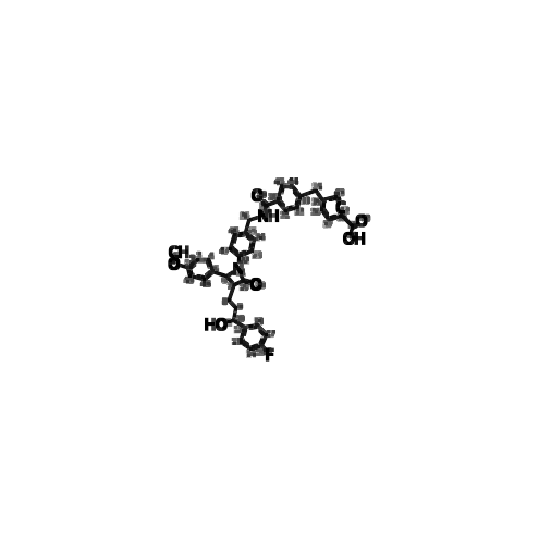 COc1ccc(C2C(CCC(O)c3ccc(F)cc3)C(=O)N2c2ccc(CNC(=O)c3ccc(Cc4ccc(C(=O)O)cc4)cc3)cc2)cc1